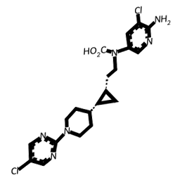 Nc1ncc(N(CC[C@@H]2C[C@@H]2C2CCN(c3ncc(Cl)cn3)CC2)C(=O)O)cc1Cl